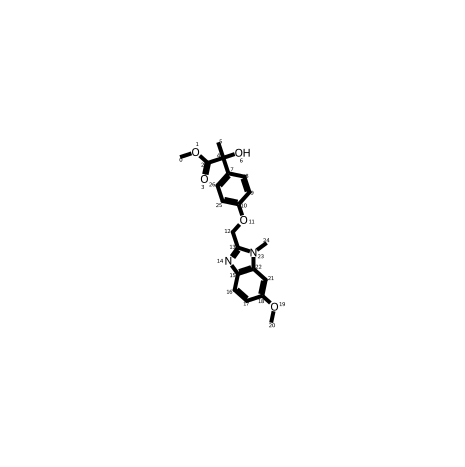 COC(=O)C(C)(O)c1ccc(OCc2nc3ccc(OC)cc3n2C)cc1